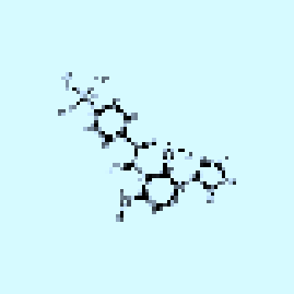 C=C(C(=O)c1c(OC)ccc(-c2cccs2)c1OC)c1ccc(C(F)(F)F)cc1